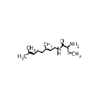 CSC(N)C(=O)NC/C=C(\C)CCC=C(C)C